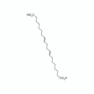 O=C(O)CCCCCCC=CCCC=CCCCCCCC(=O)O